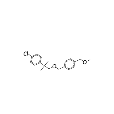 COCc1ccc(COCC(C)(C)c2ccc(Cl)cc2)cc1